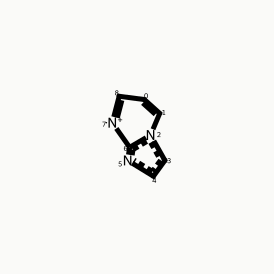 C1=Cn2ccnc2[N+]=C1